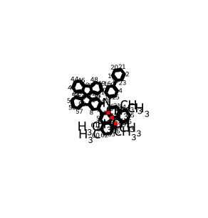 Cc1cc2c(cc1-c1cc3c(cc1N(c1ccc(-c4ccccc4)cc1)c1ccc4c(c1)C(C)(C)CCC4(C)C)C1(c4ccccc4-c4ccccc41)c1ccccc1-3)C(C)(C)CCC2(C)C